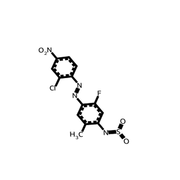 Cc1cc(N=Nc2ccc([N+](=O)[O-])cc2Cl)c(F)cc1N=S(=O)=O